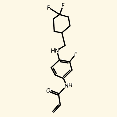 C=CC(=O)Nc1ccc(NCC2CCC(F)(F)CC2)c(F)c1